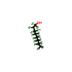 OC(F)(F)C(F)C(F)(F)C(F)(F)C(F)(F)C(F)(F)C(F)(F)C(F)F